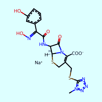 Cn1nnnc1SCC1=C(C(=O)[O-])N2C(=O)C(NC(=O)C(=NO)c3cccc(O)c3)[C@@H]2SC1.[Na+]